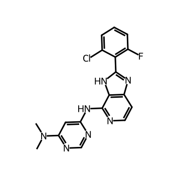 CN(C)c1cc(Nc2nccc3nc(-c4c(F)cccc4Cl)[nH]c23)ncn1